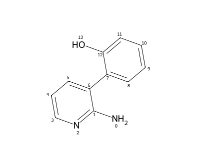 Nc1ncccc1-c1ccccc1O